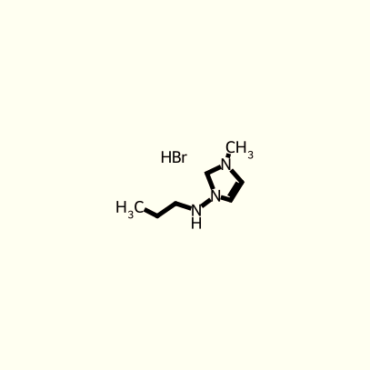 Br.CCCNN1C=CN(C)C1